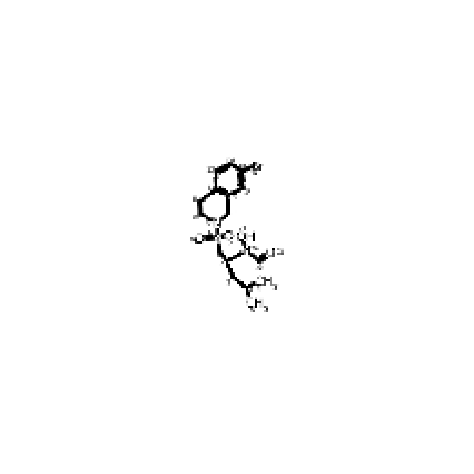 CC(C)CC(CS(=O)(=O)N1CCc2ccc(Br)cc2C1)N(O)C=O